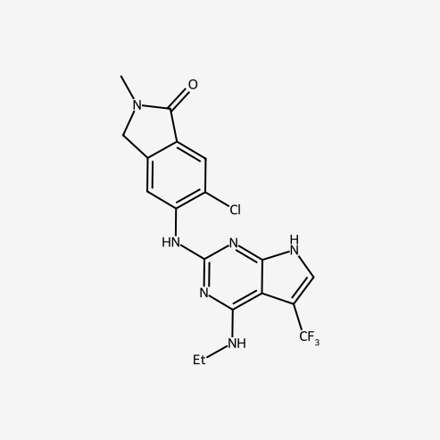 CCNc1nc(Nc2cc3c(cc2Cl)C(=O)N(C)C3)nc2[nH]cc(C(F)(F)F)c12